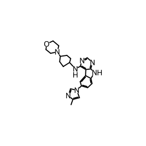 Cc1cn(-c2ccc3[nH]c4ncnc(NC5CCC(N6CCOCC6)CC5)c4c3c2)cn1